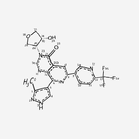 Cc1n[nH]cc1-c1nc(-c2ccc(C(F)(F)F)nc2)cc2c(=O)n([C@@H]3COC[C@@H]3O)cnc12